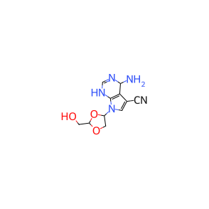 N#Cc1cn(C2COC(CO)O2)c2c1C(N)N=CN2